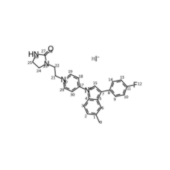 Cc1ccc2c(c1)c(-c1ccc(F)cc1)cn2-c1cc[n+](CCN2CCNC2=O)cc1.[I-]